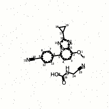 COc1ccc(-c2ccc(C#N)cc2)n2nc(C3CC3)nc12.N#CCNC(=O)O